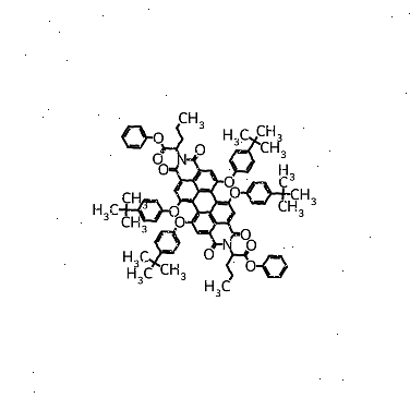 CCCC(C(=O)Oc1ccccc1)N1C(=O)c2cc(Oc3ccc(C(C)(C)C)cc3)c3c4c(Oc5ccc(C(C)(C)C)cc5)cc5c6c(cc(Oc7ccc(C(C)(C)C)cc7)c(c7c(Oc8ccc(C(C)(C)C)cc8)cc(c2c37)C1=O)c64)C(=O)N(C(CCC)C(=O)Oc1ccccc1)C5=O